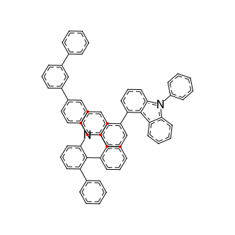 c1ccc(-c2cccc(-c3ccc(N(c4cccc(-c5cccc6c5c5ccccc5n6-c5ccccc5)c4)c4cccc(-c5ccccc5)c4-c4ccccc4-c4ccccc4)cc3)c2)cc1